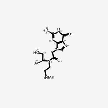 CNCCN(C(=O)Cn1cnc2c(=O)[nH]c(N)nc21)[C@H](CO)C(C)=O